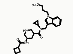 COCCCn1cc(CN(C(=O)C2CNCC(NC(=O)C3CCC3)C2)C2CC2)c2ccccc21